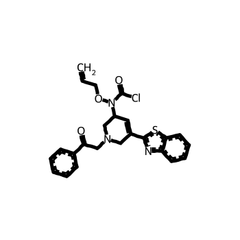 C=CCON(C(=O)Cl)C1C=C(c2nc3ccccc3s2)CN(CC(=O)c2ccccc2)C1